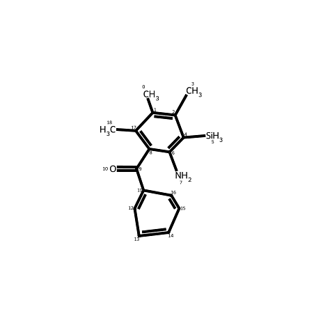 Cc1c(C)c([SiH3])c(N)c(C(=O)c2ccccc2)c1C